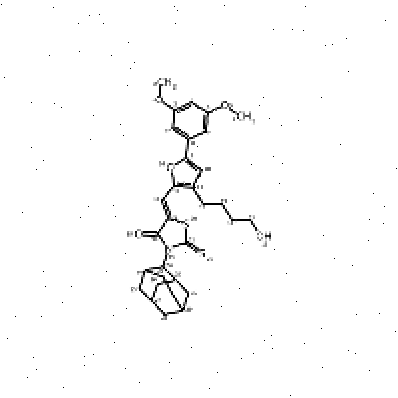 COc1cc(OC)cc(-c2cc(CCCCO)c(/C=C3\SC(=S)N(C4C5CC6CC(C5)CC4C6)C3=O)o2)c1